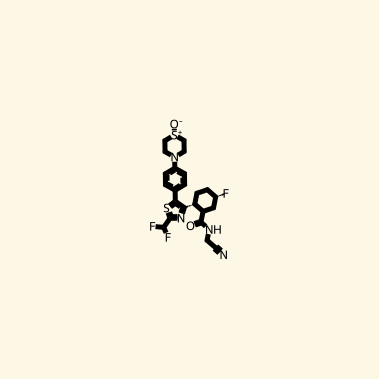 N#CCNC(=O)C1C[C@@H](F)CC[C@H]1c1nc(C(F)F)sc1-c1ccc(N2CC[S+]([O-])CC2)cc1